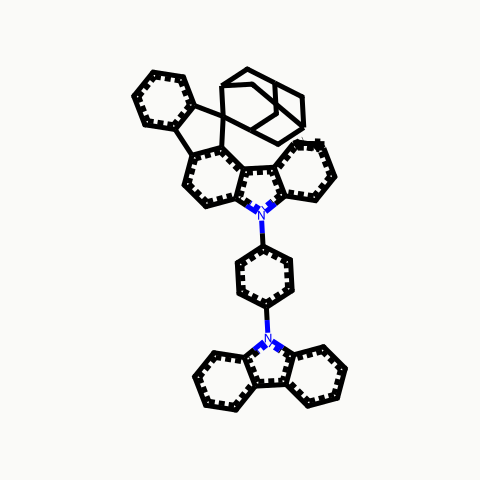 c1ccc2c(c1)-c1ccc3c(c1C21C2CC4CC(C2)CC1C4)c1c2ccccc2ccc1n3-c1ccc(-n2c3ccccc3c3ccccc32)cc1